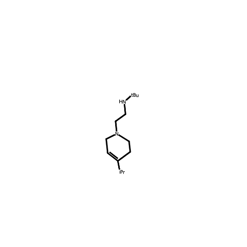 CC(C)C1=CCN(CCNC(C)(C)C)CC1